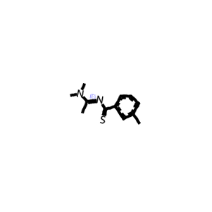 C/C(=N\C(=S)c1cccc(C)c1)N(C)C